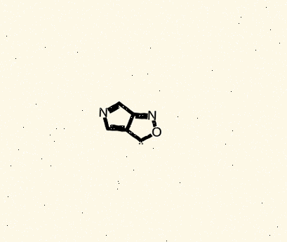 [C]1ON=C2C=NC=C12